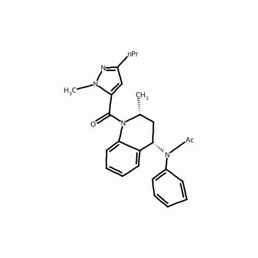 CCCc1cc(C(=O)N2c3ccccc3[C@@H](N(C(C)=O)c3ccccc3)C[C@H]2C)n(C)n1